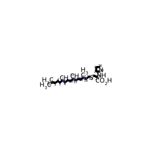 CC(C)=CCC/C(C)=C/CC/C(C)=C/CC/C(C)=C/CSCC(NC1=NCCC1)C(=O)O